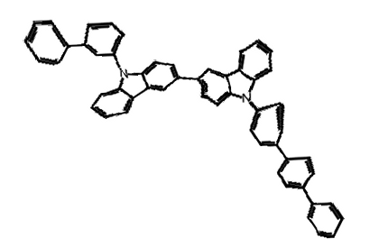 c1ccc(-c2ccc(-c3ccc(-n4c5ccccc5c5cc(-c6ccc7c(c6)c6ccccc6n7-c6cccc(-c7ccccc7)c6)ccc54)cc3)cc2)cc1